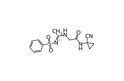 C/C(=N\S(=O)(=O)c1ccccc1)NCC(=O)NC1(C#N)CC1